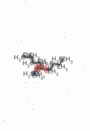 CC(C)CCCC(C)CCCC(C)CCCC(C)CC(=O)OC[C@H](COP(=O)([O-])OCC[N+](C)(C)C)OC(=O)CC(C)CCCC(C)CCCC(C)CCCC(C)C